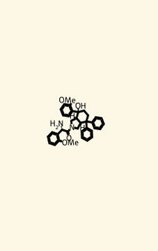 COc1ccccc1[C@H](N)C(=O)N1C[C@@H]2[C@H](C1)C(c1ccccc1)(c1ccccc1)CC[C@@]2(O)c1ccccc1OC